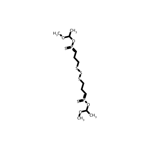 COC(C)O/P(=S)=C/CCSSSCC/C=P(=S)/OC(C)OC